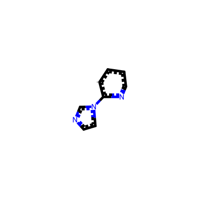 [c]1cccnc1-n1ccnc1